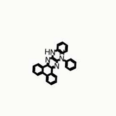 c1ccc(Nc2nc3c4ccccc4c4ccccc4c3nc2Nc2ccccc2)cc1